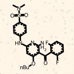 CCCCOc1cc(Nc2ccc(S(=O)(=O)N(C)C)cc2)nc(N)c1C(=O)c1c(F)cccc1F